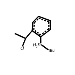 CC(Cl)c1cccc[c]1[SnH2][C](C)(C)C